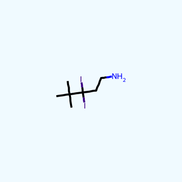 CC(C)(C)C(I)(I)CCN